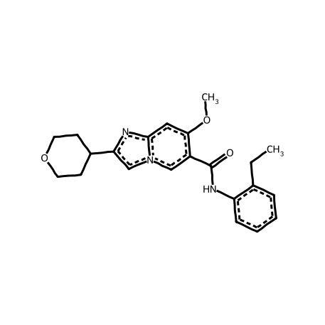 CCc1ccccc1NC(=O)c1cn2cc(C3CCOCC3)nc2cc1OC